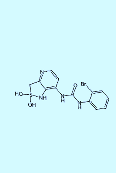 O=C(Nc1ccccc1Br)Nc1ccnc2c1NS(O)(O)C2